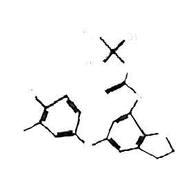 CC(C)(C)OC(=O)Nc1cc(Oc2ccc(F)c(F)c2)cc2c1OCC2